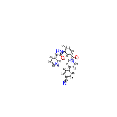 Cc1ccc(C(=O)N2CCC(c3ccc(C#N)cc3)CC2)cc1NC(=O)Cc1cccnc1